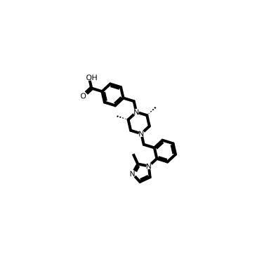 Cc1nccn1-c1ccccc1CN1C[C@@H](C)N(Cc2ccc(C(=O)O)cc2)[C@@H](C)C1